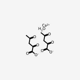 CC(=O)CC(=O)C(=O)[O-].CC(=O)CC(=O)C(=O)[O-].O.[Ca+2]